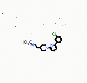 O=C(O)NCCC1CCN(c2cccc(-c3cccc(Cl)c3)n2)CC1